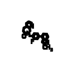 Cn1cc2c(-c3ccc(CN4Cc5ncccc5CCC4=O)c(F)c3)cccc2n1